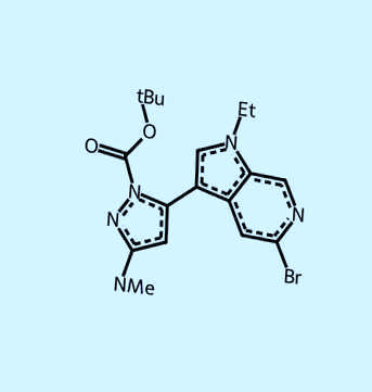 CCn1cc(-c2cc(NC)nn2C(=O)OC(C)(C)C)c2cc(Br)ncc21